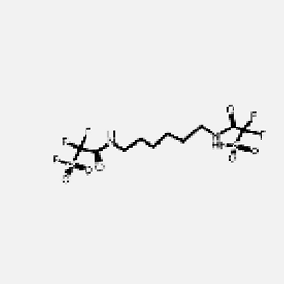 O=C(NCCCCCCNC(=O)C(F)(F)S(=O)(=O)F)C(F)(F)S(=O)(=O)F